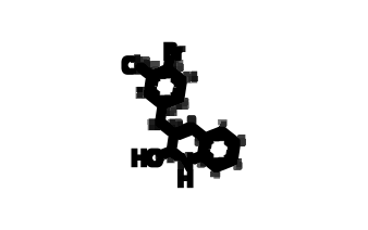 OC1Nc2ccccc2C=C1Cc1ccc(Br)c(Cl)c1